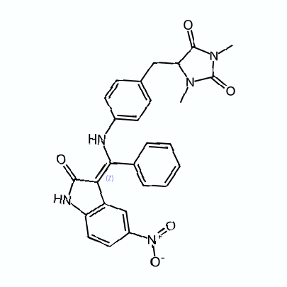 CN1C(=O)C(Cc2ccc(N/C(=C3\C(=O)Nc4ccc([N+](=O)[O-])cc43)c3ccccc3)cc2)N(C)C1=O